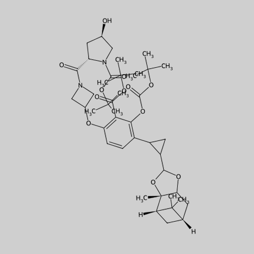 CC(C)(C)OC(=O)Oc1c(C2CC2C2OC3C[C@@H]4C[C@@H](C4(C)C)[C@]3(C)O2)ccc(OC2CN(C(=O)[C@@H]3C[C@@H](O)CN3C(=O)OC(C)(C)C)C2)c1C(=O)OC(C)(C)C